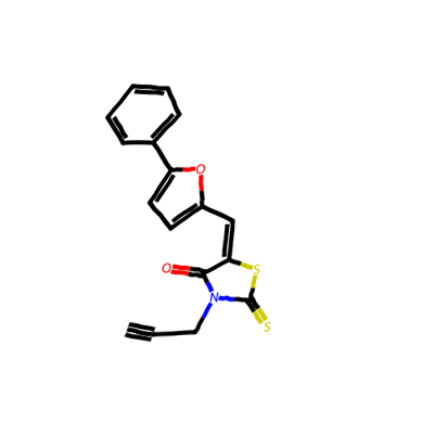 C#CCN1C(=O)/C(=C\c2ccc(-c3ccccc3)o2)SC1=S